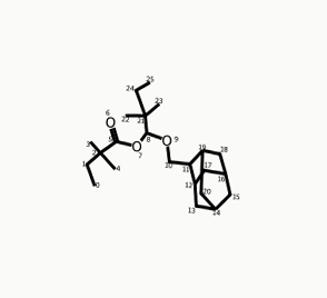 CCC(C)(C)C(=O)OC(OCC1C2CC3CC(C2)CC1C3)C(C)(C)CC